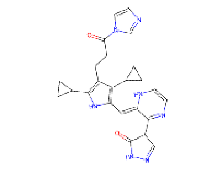 O=C1NN=CC1C1=NC=CNC1=Cc1[nH]c(C2CC2)c(CCC(=O)n2ccnc2)c1C1CC1